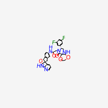 O=C(CN1C(=O)C2(COCCOC2)NC[C@H]1c1cc(F)cc(F)c1)Nc1ccc2c(c1)C[C@]1(C2)C(=O)Nc2ncccc21